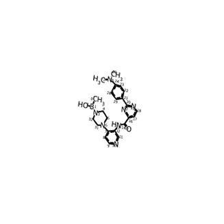 CB(O)N1CCN(c2ccncc2NC(=O)c2ccnc(-c3ccc(N(C)C)cc3)n2)CC1